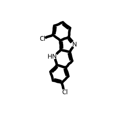 Clc1ccc2[nH]c3c4c(Cl)cccc4nc-3cc2c1